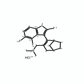 CN(C)CC1=C(c2c(F)sc3ccc(F)c(F)c23)C2CCC(C1)C2.Cl